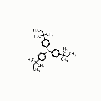 CCC(C)(C)c1ccc(P(c2ccc(C(C)(C)CC)cc2)c2ccc(C(C)(C)CC)cc2)cc1